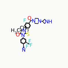 CC1(C)C(=O)N(c2ccc(C#N)c(C(F)(F)F)c2)C(=S)N1c1ccc(C(=O)N2CCN(C3CNC3)CC2)c(F)c1